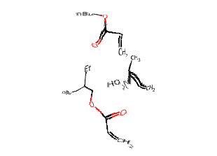 C=C(C)C(=O)O.C=CC(=O)OCC(CC)CCCC.C=CC(=O)OCCCC